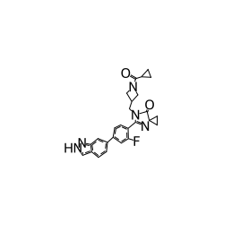 O=C(C1CC1)N1CC(CN2C(=O)C3(CC3)N=C2c2ccc(-c3ccc4c[nH]nc4c3)cc2F)C1